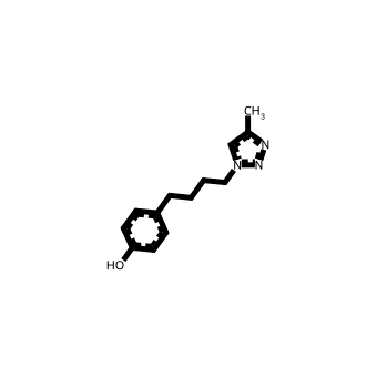 Cc1cn(CCCCc2ccc(O)cc2)nn1